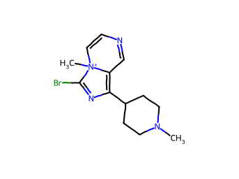 CN1CCC(C2=C3C=NC=C[N+]3(C)C(Br)=N2)CC1